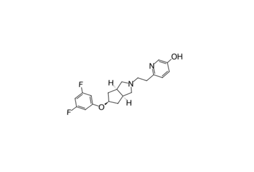 Oc1ccc(CCN2C[C@H]3C[C@@H](Oc4cc(F)cc(F)c4)C[C@H]3C2)nc1